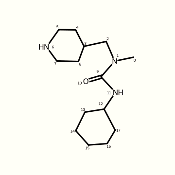 CN(CC1CCNCC1)C(=O)NC1CCCCC1